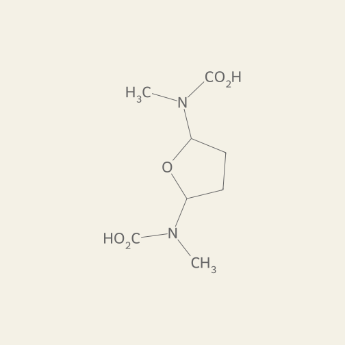 CN(C(=O)O)C1CCC(N(C)C(=O)O)O1